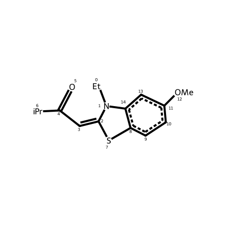 CCN1C(=CC(=O)C(C)C)Sc2ccc(OC)cc21